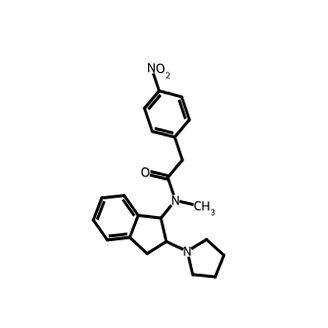 CN(C(=O)Cc1ccc([N+](=O)[O-])cc1)C1c2ccccc2CC1N1CCCC1